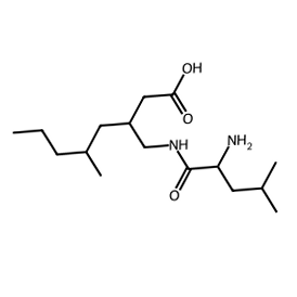 CCCC(C)CC(CNC(=O)C(N)CC(C)C)CC(=O)O